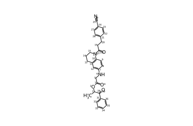 CC(OC(=O)CNc1ccc2c(c1)CCCN2C(=O)CCc1ccc(C#N)cc1)C(=O)c1ccccc1